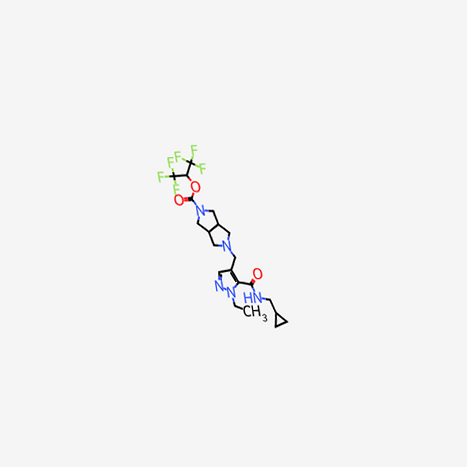 CCn1ncc(CN2CC3CN(C(=O)OC(C(F)(F)F)C(F)(F)F)CC3C2)c1C(=O)NCC1CC1